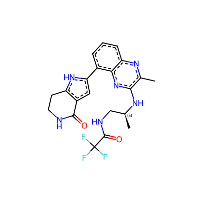 Cc1nc2cccc(-c3cc4c([nH]3)CCNC4=O)c2nc1N[C@@H](C)CNC(=O)C(F)(F)F